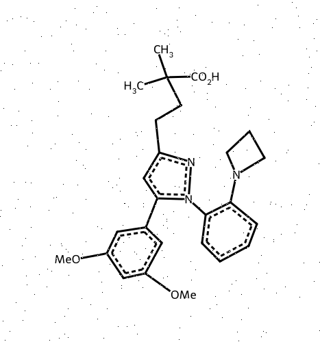 COc1cc(OC)cc(-c2cc(CCC(C)(C)C(=O)O)nn2-c2ccccc2N2CCC2)c1